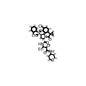 CCC(NC(=O)[C@@H]1C[C@@H](S(=O)(=O)c2ccccc2Cl)CN1C(=O)C1(c2ccc(Cl)cc2)CC1)C(=O)C(=O)NC1CCOCC1